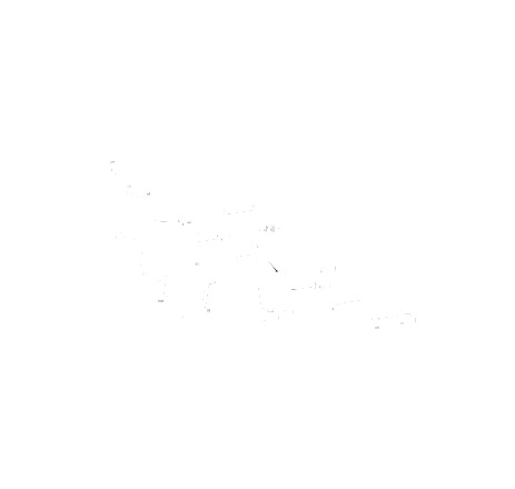 CCC(CC)(C(=O)NCCOC)[C@H]1CN(C2=Nc3cc(Cl)ccc3Oc3ccccc32)CCN1